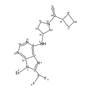 CCn1c(C(F)F)nc2c(NC3CCN(C(=O)C4CCC4)C3)ncnc21